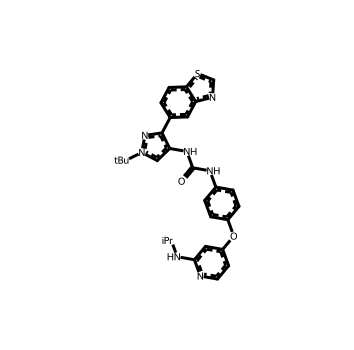 CC(C)Nc1cc(Oc2ccc(NC(=O)Nc3cn(C(C)(C)C)nc3-c3ccc4scnc4c3)cc2)ccn1